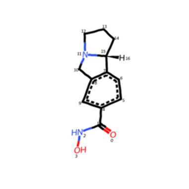 O=C(NO)c1ccc2c(c1)CN1CCC[C@H]21